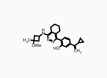 C=C(c1ccc(-c2nnc(NC3CC(C)(OC)C3)c3c2CCCC3)c(O)c1)C1CC1